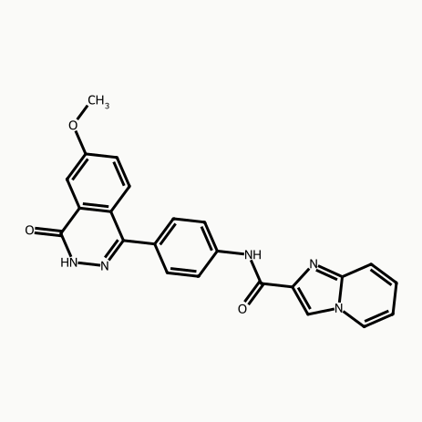 COc1ccc2c(-c3ccc(NC(=O)c4cn5ccccc5n4)cc3)n[nH]c(=O)c2c1